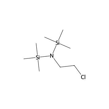 C[Si](C)(C)N(CCCl)[Si](C)(C)C